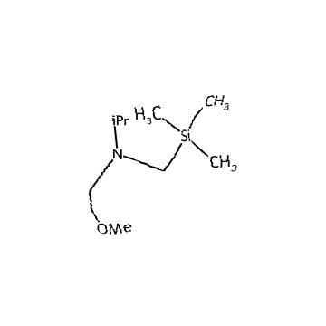 COCN(C[Si](C)(C)C)C(C)C